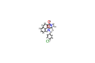 CN(Cc1ccc(Cl)cc1)C(=O)C1(C)CCN1C(=O)c1ccc2ccccc2c1